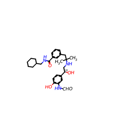 CC(C)(Cc1cccc(C(=O)NCC2CCCCC2)c1)NC[C@@H](O)c1ccc(O)c(NC=O)c1